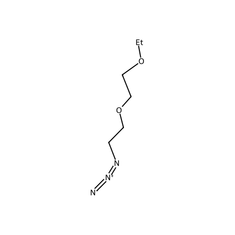 [CH2]COCCOCCN=[N+]=[N-]